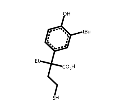 CCC(CCS)(C(=O)O)c1ccc(O)c(C(C)(C)C)c1